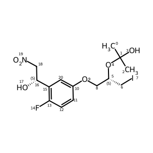 CC(C)(O)O[C@H](CI)COc1ccc(F)c([C@H](O)C[N+](=O)[O-])c1